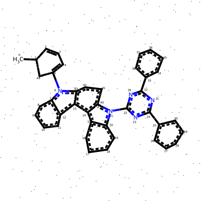 CC1C=CC=C(n2c3ccccc3c3c4c5ccccc5n(-c5nc(-c6ccccc6)nc(-c6ccccc6)n5)c4ccc32)C1